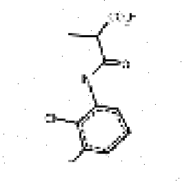 CC(C(=O)O)C(=O)Nc1cccc(F)c1Cl